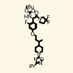 CC(C)c1noc(N2CCC(C(C)CCOc3ccc([C@H](NC(=O)OC(C)(C)C)C(=O)N4CCC(F)(F)C4)c(F)c3)CC2)n1